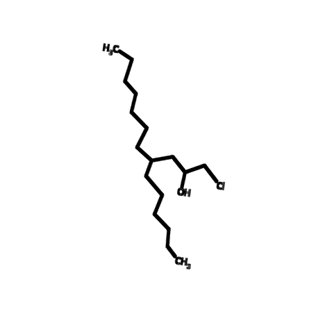 CCCCCCCC(CCCCCC)CC(O)CCl